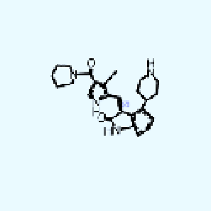 Cc1c(C(=O)N2CCCCC2)c[nH]c1/C=C1\C(=O)Nc2cccc(C3CCNCC3)c21